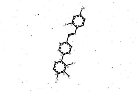 CCCc1ccc(/C=C/c2ccc(-c3ccc(CC)c(F)c3F)cc2)c(F)c1